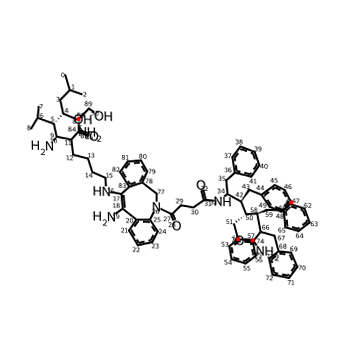 CC(C)CC([C@@H](C(C)C)[C@H](N)C(CCCCN/C1=C(\N)c2ccccc2N(C(=O)CCC(=O)NC(Cc2ccccc2)[C@@H](Cc2ccccc2)[C@@H](Cc2ccccc2)[C@@H](Cc2ccccc2)C(Cc2ccccc2)C(N)=O)Cc2ccccc21)C(=O)O)[C@@H](N)CO